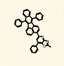 Cc1nc2nc(-c3ccc4c5c(cccc35)-c3c-4c(-c4ccccc4)c4ccccc4c3-c3ccccc3)cc(-c3ccccc3)c2o1